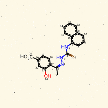 CC(=NNC(=S)Nc1cccc2ccccc12)c1ccc(C(=O)O)cc1O